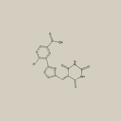 O=C1NC(=O)C(=Cc2ccc(-c3cc(C(=O)O)ccc3Cl)o2)C(=O)N1